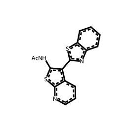 CC(=O)Nc1sc2ncccc2c1-c1nc2ccccc2s1